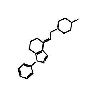 CC1CCN(C/C=C2\CCCc3c2cnn3-c2ccccc2)CC1